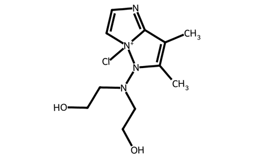 CC1=C(C)N(N(CCO)CCO)[N+]2(Cl)C=CN=C12